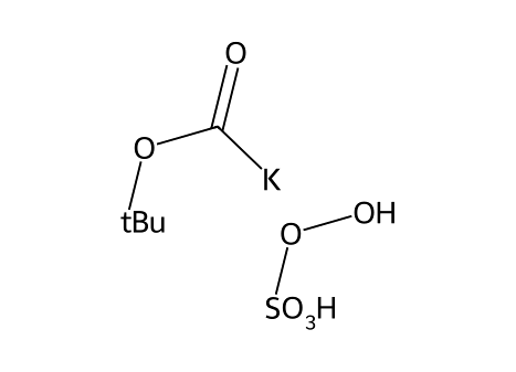 CC(C)(C)O[C](=O)[K].O=S(=O)(O)OO